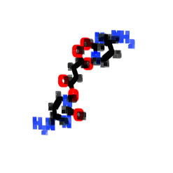 Nc1ccn(OC(=O)CCC(=O)On2ccc(N)nc2=O)c(=O)n1